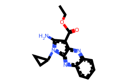 CCOC(=O)c1c(N)n(C2CC2)c2nc3ccccc3nc12